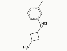 Cc1cc(C)cc(OC2CC(N)C2)c1.Cl